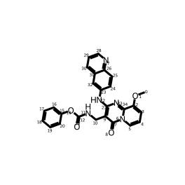 COc1cccn2c(=O)c(CNC(=O)Oc3ccccc3)c(Nc3ccc4ncccc4c3)nc12